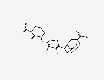 Cc1c(CN2CCCC(C(N)=O)C2=O)ccc(C2C3CC4CC2CC(C(N)=O)(C4)C3)c1C